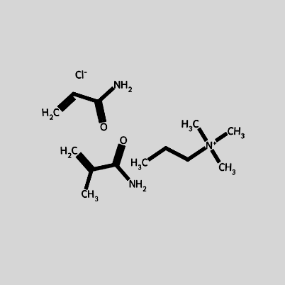 C=C(C)C(N)=O.C=CC(N)=O.CCC[N+](C)(C)C.[Cl-]